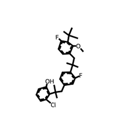 COc1c(CC(C)(C)c2ccc(CC(C)(C)c3c(O)cccc3Cl)cc2F)ccc(F)c1C(C)(C)C